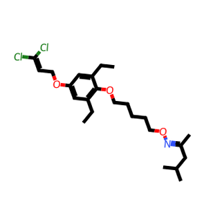 CCc1cc(OCC=C(Cl)Cl)cc(CC)c1OCCCCCO/N=C(\C)CC(C)C